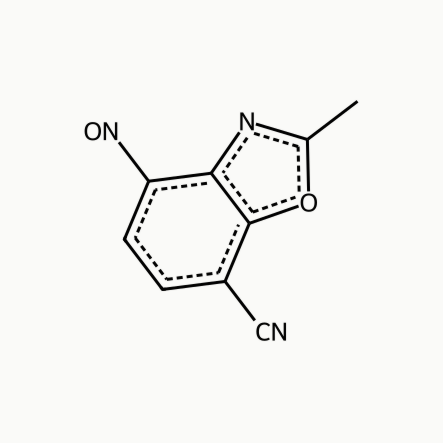 Cc1nc2c(N=O)ccc(C#N)c2o1